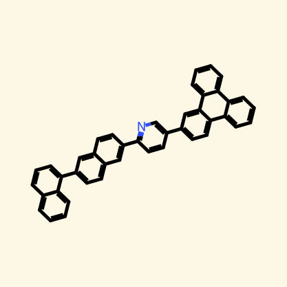 c1ccc2c(-c3ccc4cc(-c5ccc(-c6ccc7c8ccccc8c8ccccc8c7c6)cn5)ccc4c3)cccc2c1